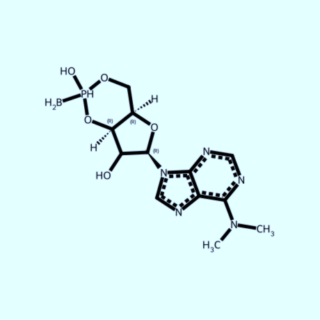 B[PH]1(O)OC[C@H]2O[C@@H](n3cnc4c(N(C)C)ncnc43)C(O)[C@H]2O1